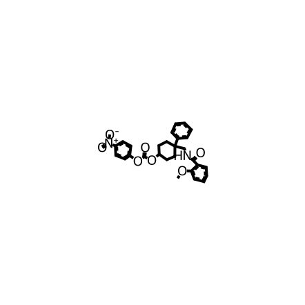 COc1ccccc1C(=O)NCC1(c2ccccc2)CCC(OC(=O)Oc2ccc([N+](=O)[O-])cc2)CC1